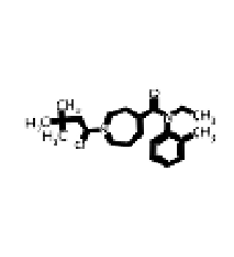 CCN(C(=O)C1CCCN(C(=O)CC(C)(C)C)CC1)c1ccccc1C